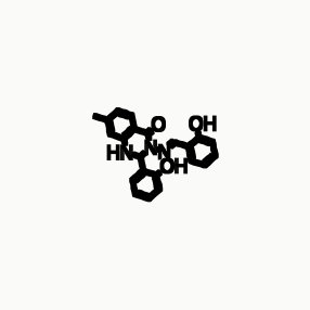 Cc1ccc2c(c1)NC(c1ccccc1O)N(/N=C/c1ccccc1O)C2=O